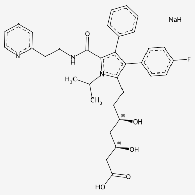 CC(C)n1c(CC[C@@H](O)C[C@@H](O)CC(=O)O)c(-c2ccc(F)cc2)c(-c2ccccc2)c1C(=O)NCCc1ccccn1.[NaH]